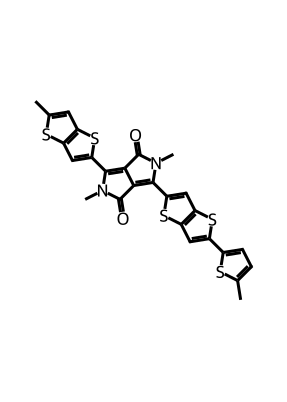 Cc1ccc(-c2cc3sc(C4=C5C(=O)N(C)C(c6cc7sc(C)cc7s6)=C5C(=O)N4C)cc3s2)s1